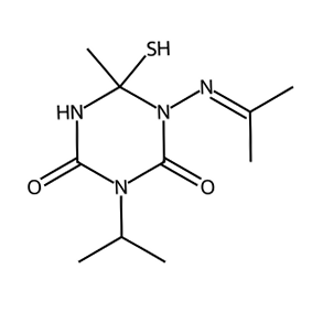 CC(C)=NN1C(=O)N(C(C)C)C(=O)NC1(C)S